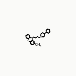 Cc1ccc2c(c1)N(CCCCN1CCC(c3ccccc3)CC1)c1ccccc1S2